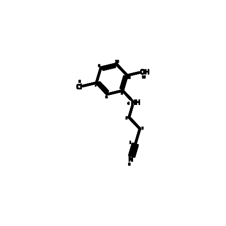 N#CCCNc1cc(Cl)ccc1O